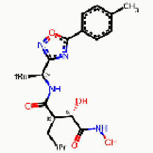 Cc1ccc(-c2nc([C@@H](NC(=O)[C@H](CC(C)C)[C@H](O)C(=O)NO)C(C)(C)C)no2)cc1